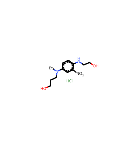 CCN(CCCO)c1ccc(NCCO)c([N+](=O)[O-])c1.Cl